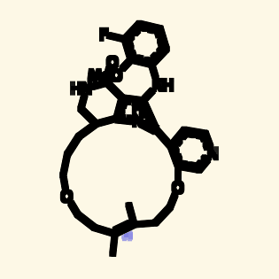 COc1c(F)cccc1Nc1c2[nH]c3c1C(=O)NCC3CCCOCC/C(C)=C(\C)CCOc1cnccc1-2